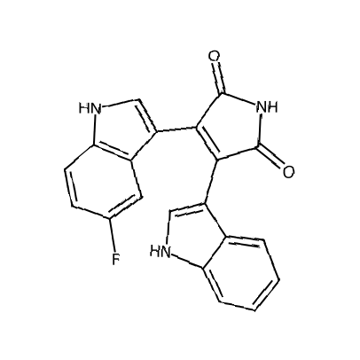 O=C1NC(=O)C(c2c[nH]c3ccc(F)cc23)=C1c1c[nH]c2ccccc12